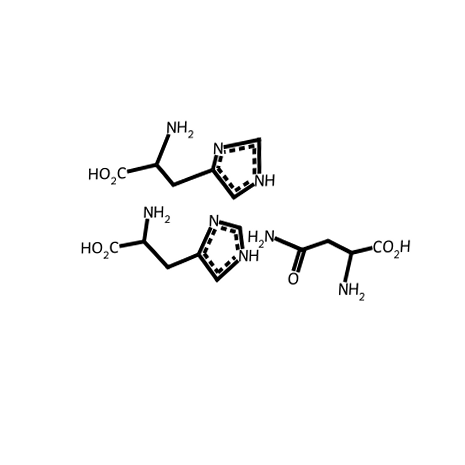 NC(=O)CC(N)C(=O)O.NC(Cc1c[nH]cn1)C(=O)O.NC(Cc1c[nH]cn1)C(=O)O